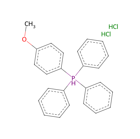 COc1ccc([PH](c2ccccc2)(c2ccccc2)c2ccccc2)cc1.Cl.Cl